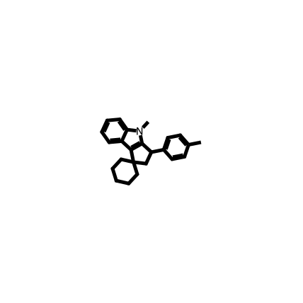 Cc1ccc(C2CC3(CCCCC3)c3c2n(C)c2ccccc32)cc1